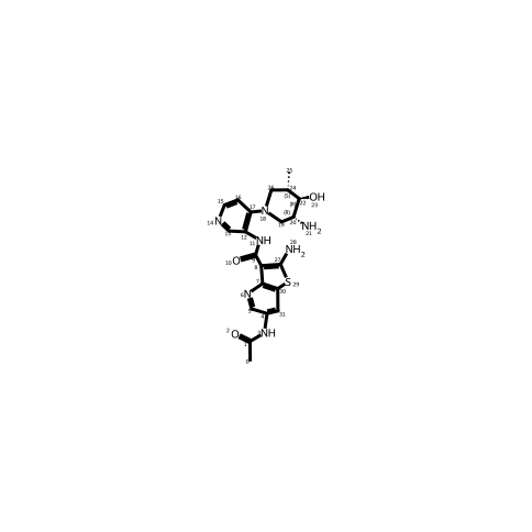 CC(=O)Nc1cnc2c(C(=O)Nc3cnccc3N3C[C@@H](N)[C@H](O)[C@@H](C)C3)c(N)sc2c1